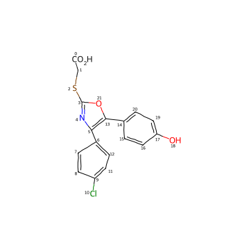 O=C(O)CSc1nc(-c2ccc(Cl)cc2)c(-c2ccc(O)cc2)o1